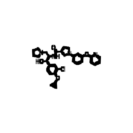 O=C(N[C@H](CN1CCCC1)[C@H](O)c1ccc(OC2CC2)c(Cl)c1)[C@H]1CCN(c2cccc(Oc3ccccn3)c2)C1